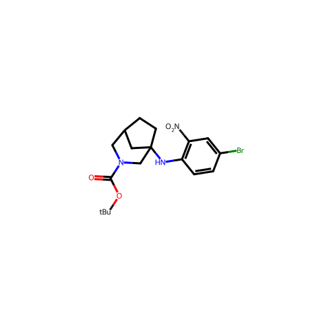 CC(C)(C)OC(=O)N1CC2CCC(Nc3ccc(Br)cc3[N+](=O)[O-])(C2)C1